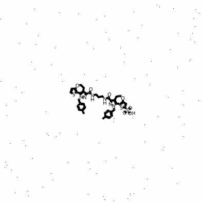 Cc1ccc(Cn2nc(C(=O)NCCCNC(=O)c3nn(Cc4ccc(C)cc4)c4c3CCOc3cc(S(=O)(=O)O)sc3-4)c3c2-c2sccc2OCC3)cc1